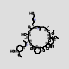 CO[C@H]1C[C@@H](C)C/C(C)=C/[C@@H](C/C=C/CO)C(=O)C[C@H](O)[C@@H](C)[C@@H](/C(C)=C/[C@@H]2CC[C@@H](O)[C@H](OC)C2)OC(=O)[C@@H]2CCCCN2C(=O)C(=O)[C@]2(O)O[C@H]1[C@@H](OC)C[C@H]2C